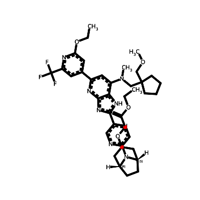 CCOC(=O)COC1C[C@H]2CC[C@@H](C1)N2c1cnc(-c2nc3nc(-c4cc(OCC)nc(C(F)(F)F)c4)cc(N(C)CC4(COC)CCCC4)c3[nH]2)cn1